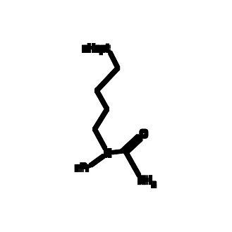 CCCCCCCCCCCN(CCC)C(N)=O